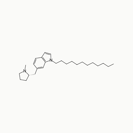 CCCCCCCCCCCCn1ccc2ccc(C[C@@H]3CCCN3C)cc21